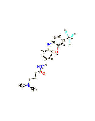 CN(C)CCCC(=O)NCc1ccc2c(c1)Oc1cc(C(F)(F)F)ccc1N2